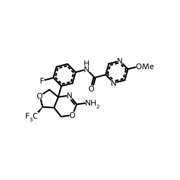 COc1cnc(C(=O)Nc2ccc(F)c(C34CO[C@H](C(F)(F)F)C3COC(N)=N4)c2)cn1